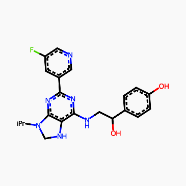 CC(C)N1CNc2c(NCC(O)c3ccc(O)cc3)nc(-c3cncc(F)c3)nc21